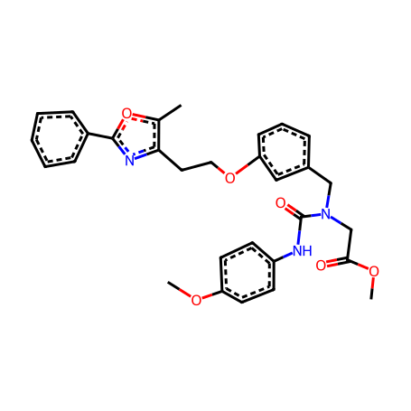 COC(=O)CN(Cc1cccc(OCCc2nc(-c3ccccc3)oc2C)c1)C(=O)Nc1ccc(OC)cc1